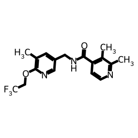 Cc1cc(CNC(=O)c2ccnc(C)c2C)cnc1OCC(F)(F)F